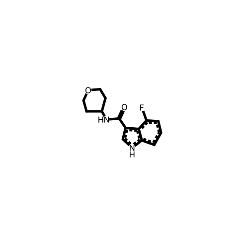 O=C(NC1CCOCC1)c1c[nH]c2cccc(F)c12